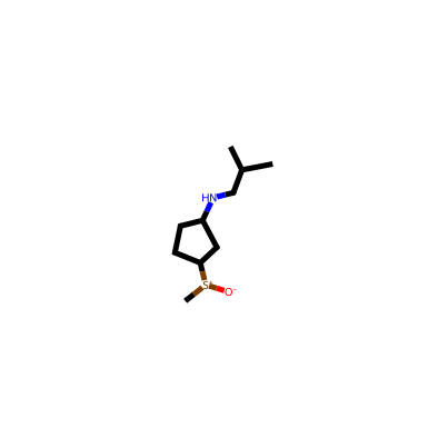 CC(C)CNC1CCC([S+](C)[O-])C1